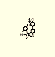 Cc1ccc(C#N)cc1-n1c(=N)n(C)c2cnc3ccc(-c4ccc(Cl)c(N)c4)cc3c21